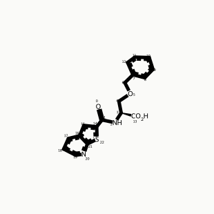 O=C(N[C@@H](COCc1ccccc1)C(=O)O)c1cc2cccnc2s1